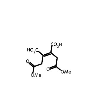 COC(=O)CC(C(=O)O)=C(CC(=O)OC)C(=O)O